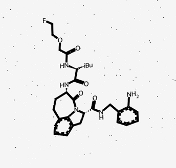 CC[C@H](C)[C@H](NC(=O)COCCF)C(=O)N[C@H]1CCc2cccc3c2N(C1=O)[C@H](C(=O)NCc1ccccc1N)C3